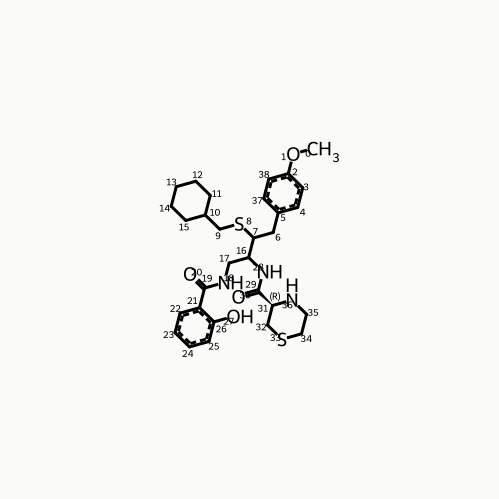 COc1ccc(CC(SCC2CCCCC2)C(CNC(=O)c2ccccc2O)NC(=O)[C@@H]2CSCCN2)cc1